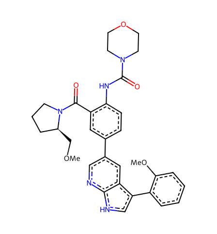 COC[C@H]1CCCN1C(=O)c1cc(-c2cnc3[nH]cc(-c4ccccc4OC)c3c2)ccc1NC(=O)N1CCOCC1